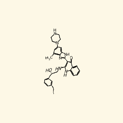 Cc1cc(N2CCNCC2)cc2[nH]c(-c3c(NC[C@@H](O)c4cccc(CI)c4)[nH]c4ccccc4c3=O)nc12